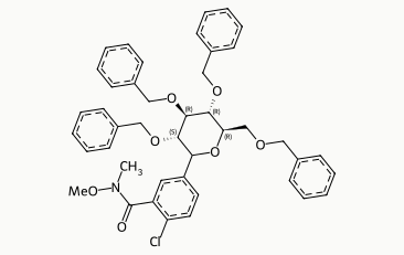 CON(C)C(=O)c1cc(C2O[C@H](COCc3ccccc3)[C@@H](OCc3ccccc3)[C@H](OCc3ccccc3)[C@H]2OCc2ccccc2)ccc1Cl